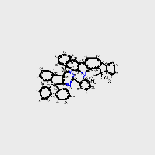 CC1(C)c2ccccc2-c2ccc3c4ccccc4n(-c4ccccc4-c4nc(-c5ccccc5)c5c(n4)[Si](c4ccccc4)(c4ccccc4)c4ccccc4-5)c3c21